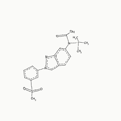 CC(C)(C)N(C(=O)O)c1ccc2cn(-c3cccc(S(C)(=O)=O)c3)nc2c1